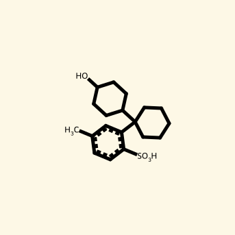 Cc1ccc(S(=O)(=O)O)c(C2(C3CCC(O)CC3)CCCCC2)c1